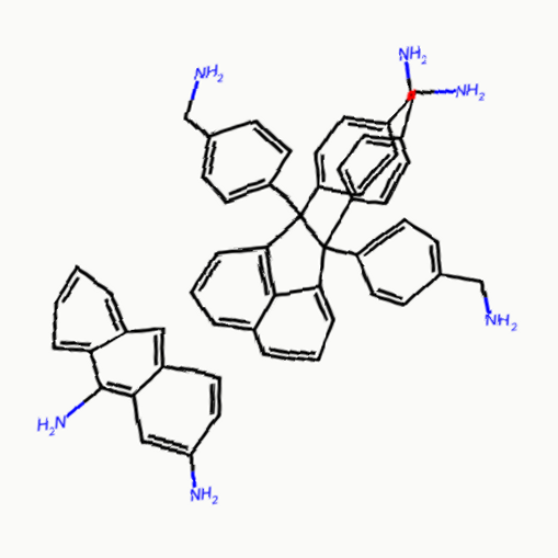 NCc1ccc(C2(c3ccc(CN)cc3)c3cccc4cccc(c34)C2(c2ccc(CN)cc2)c2ccc(CN)cc2)cc1.Nc1ccc2cc3ccccc3c(N)c2c1